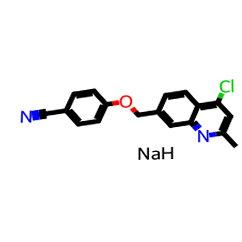 Cc1cc(Cl)c2ccc(COc3ccc(C#N)cc3)cc2n1.[NaH]